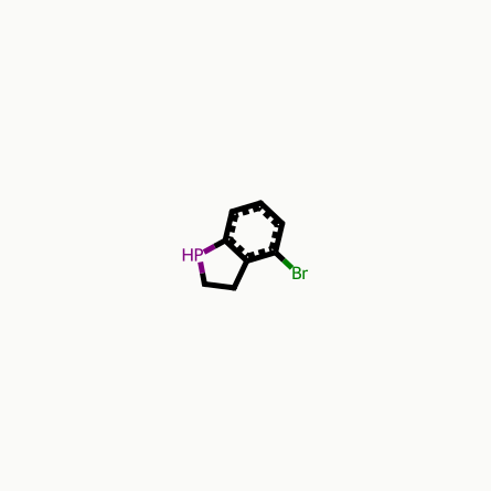 Brc1cccc2c1CCP2